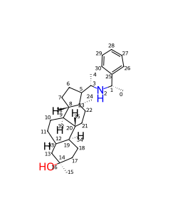 C[C@H](N[C@@H](C)C1CC[C@H]2[C@@H]3CC[C@@H]4C[C@](C)(O)CC[C@@H]4[C@H]3CC[C@]12C)c1ccccc1